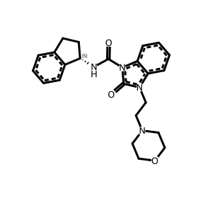 O=C(N[C@H]1CCc2ccccc21)n1c(=O)n(CCN2CCOCC2)c2ccccc21